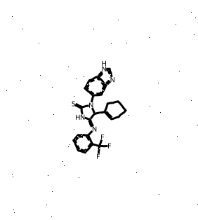 FC(F)(F)c1ccccc1N=C1NC(=S)N(c2ccc3[nH]cnc3c2)C1C1=CCCCC1